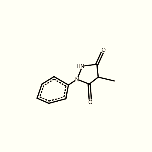 CC1C(=O)NN(c2ccccc2)C1=O